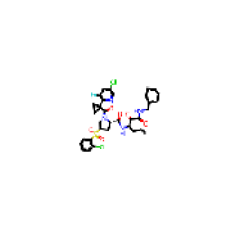 CCCC(NC(=O)[C@@H]1C[C@@H](S(=O)(=O)c2ccccc2Cl)CN1C(=O)C1(c2ncc(Cl)cc2F)CC1)C(=O)C(=O)NCc1ccccc1